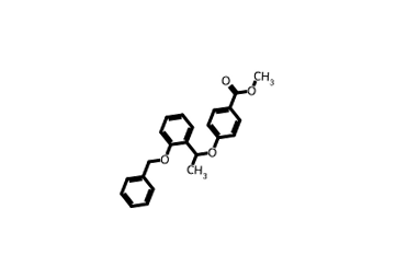 COC(=O)c1ccc(OC(C)c2ccccc2OCc2ccccc2)cc1